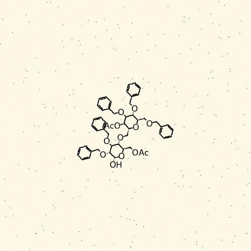 CC(=O)OC[C@H]1O[C@H](O)[C@H](OCc2ccccc2)[C@@H](OCc2ccccc2)[C@@H]1OC[C@@H]1O[C@H](COCc2ccccc2)[C@@H](OCc2ccccc2)[C@H](OCc2ccccc2)[C@@H]1OC(C)=O